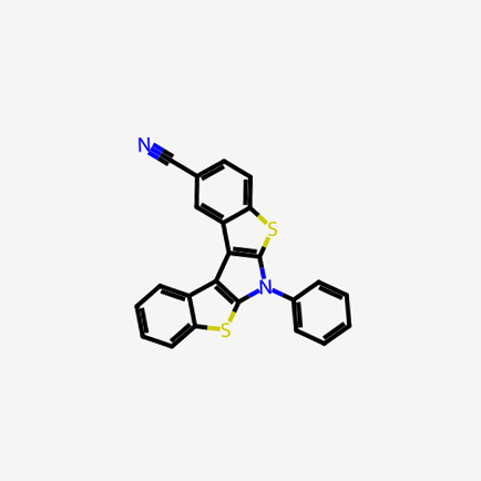 N#Cc1ccc2sc3c(c2c1)c1c2ccccc2sc1n3-c1ccccc1